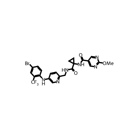 COc1ncc(C(=O)NC2(C(=O)NCc3ccc(Nc4ccc(Br)cc4C(F)(F)F)cn3)CC2)cn1